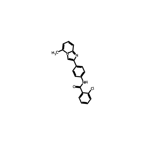 Cc1cccc2nc(-c3ccc(NC(=O)c4ccccc4Cl)cc3)cn12